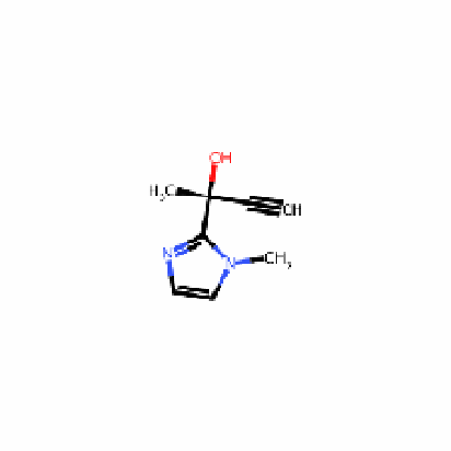 C#C[C@@](C)(O)c1nccn1C